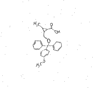 COc1ccc(C(OCC2C(C)C2C(=O)O)(c2ccccc2)c2ccccc2)cc1